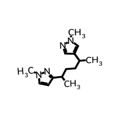 CC(CCC(C)c1ccn(C)n1)c1cnn(C)c1